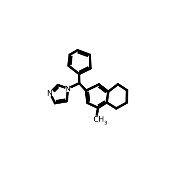 Cc1cc(C(c2ccccc2)n2ccnc2)cc2c1CCCC2